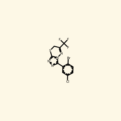 FC(F)(F)C1=Nn2c(nnc2-c2cc(Cl)ccc2Br)SC1